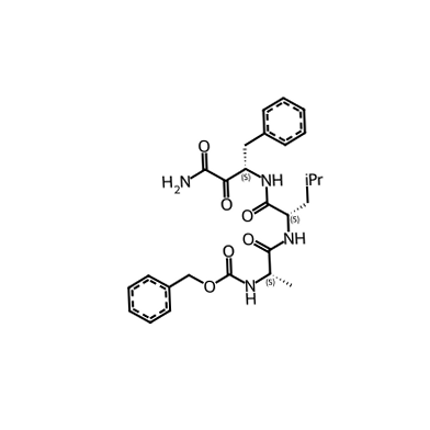 CC(C)C[C@H](NC(=O)[C@H](C)NC(=O)OCc1ccccc1)C(=O)N[C@@H](Cc1ccccc1)C(=O)C(N)=O